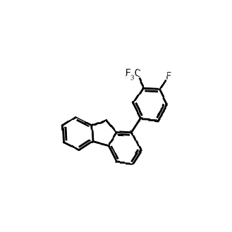 Fc1ccc(-c2cccc3c2Cc2ccccc2-3)cc1C(F)(F)F